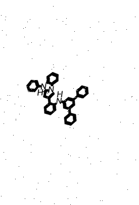 C1=C(c2ccccc2Nc2cc(-c3ccccc3)cc(-c3ccccc3)c2)C[C@@H]2N1c1ccccc1N2c1ccccc1